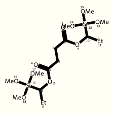 CCC(OC(=O)CCC(=O)OC(CC)[Si](OC)(OC)OC)[Si](OC)(OC)OC